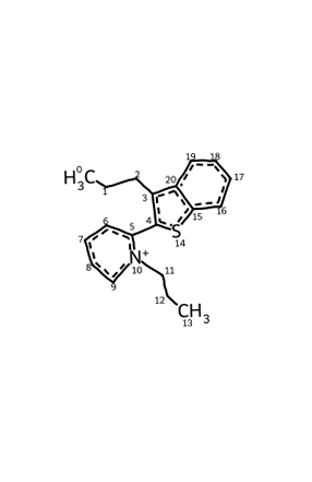 CCCc1c(-c2cccc[n+]2CCC)sc2ccccc12